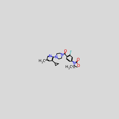 Cc1cnc(N2CCN(C(=O)c3ccc(N4C(=O)OC[C@H]4C)cc3F)CC2)c(C2CC2)c1